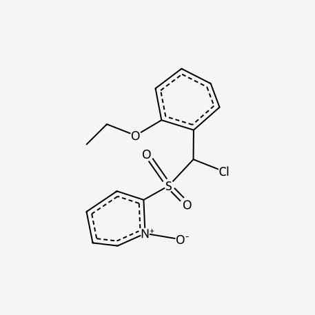 CCOc1ccccc1C(Cl)S(=O)(=O)c1cccc[n+]1[O-]